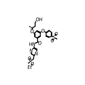 CCOP(C)(=O)Cc1cnc(NC(=O)c2cc(Oc3ccc(S(C)(=O)=O)cc3)cc(O[C@@H](C)CCO)c2)cn1